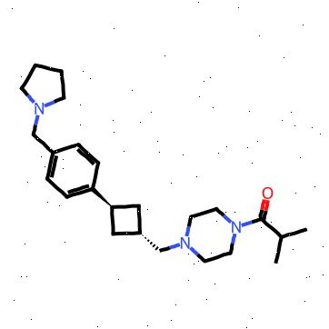 CC(C)C(=O)N1CCN(C[C@H]2C[C@H](c3ccc(CN4CCCC4)cc3)C2)CC1